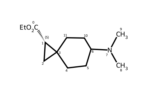 CCOC(=O)[C@H]1CC12CCC(N(C)C)CC2